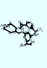 CC(C)c1cnn2c(NC(C)c3nc(C4CC4)cs3)cc(NCC3CCNCC3)nc12